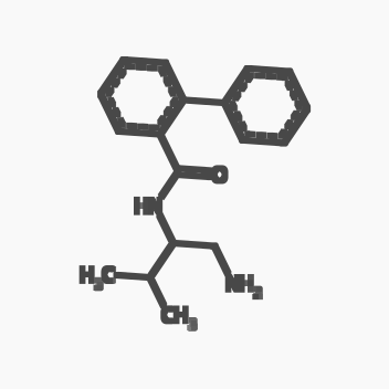 CC(C)C(CN)NC(=O)c1ccccc1-c1ccccc1